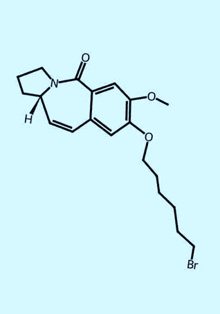 COc1cc2c(cc1OCCCCCCBr)C=C[C@@H]1CCCN1C2=O